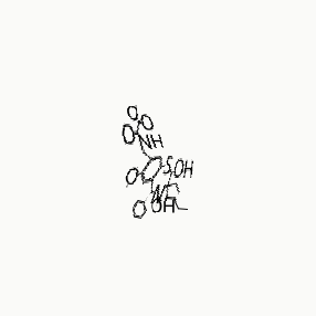 CCCC[C@]1(CC)C(O)Sc2cc(CNC(=O)C(=O)OC)c(OC)cc2[C@@H](c2ccccc2)N1O